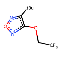 CC(C)(C)c1nonc1OCC(F)(F)F